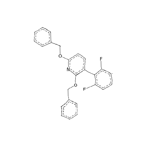 Fc1[c]ccc(F)c1-c1ccc(OCc2ccccc2)nc1OCc1ccccc1